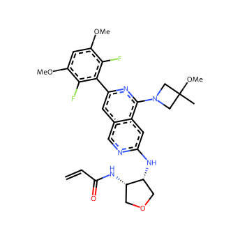 C=CC(=O)N[C@H]1COC[C@H]1Nc1cc2c(N3CC(C)(OC)C3)nc(-c3c(F)c(OC)cc(OC)c3F)cc2cn1